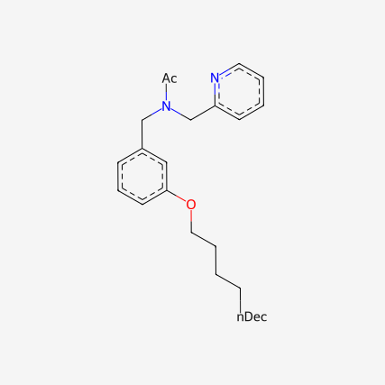 CCCCCCCCCCCCCCOc1cccc(CN(Cc2ccccn2)C(C)=O)c1